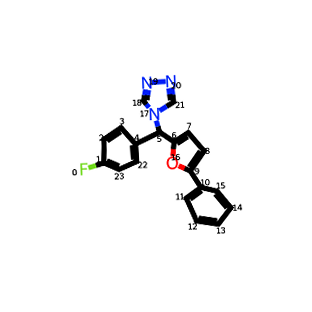 Fc1ccc(C(c2ccc(-c3ccccc3)o2)n2cnnc2)cc1